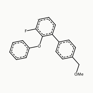 COCc1ccc(-c2cc[c]c(F)c2Oc2ccccc2)cc1